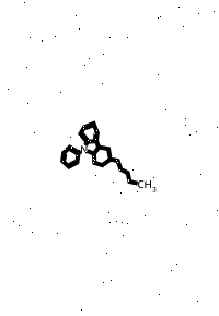 CCCCCC1CCC2C(C1)c1ccccc1N2c1ccccc1